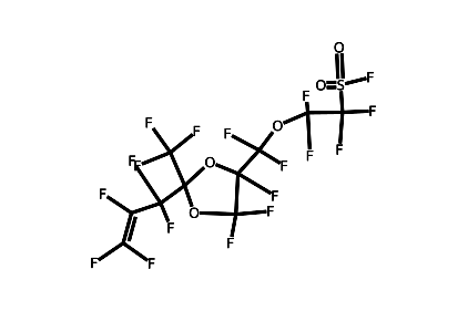 O=S(=O)(F)C(F)(F)C(F)(F)OC(F)(F)C1(F)OC(C(F)(F)F)(C(F)(F)C(F)=C(F)F)OC1(F)F